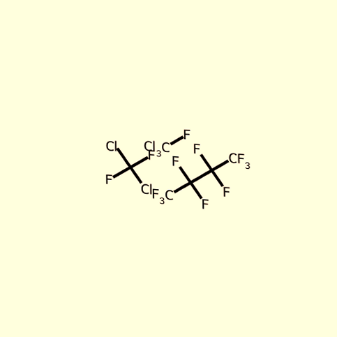 FC(Cl)(Cl)Cl.FC(F)(Cl)Cl.FC(F)(F)C(F)(F)C(F)(F)C(F)(F)F